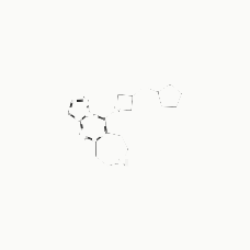 c1cc2nc3c(c(N4CC(OC5CCCC5)C4)n2n1)CCNCC3